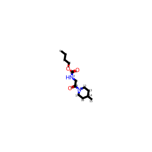 CCCCOC(=O)NCC(=O)N1CCC(C)CC1